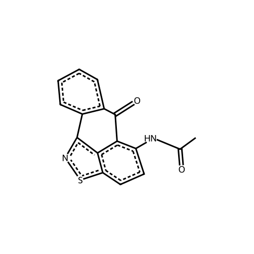 CC(=O)Nc1ccc2snc3c2c1C(=O)c1ccccc1-3